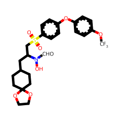 O=CN(O)C(CC1CCC2(CC1)OCCO2)CS(=O)(=O)c1ccc(Oc2ccc(OC(F)(F)F)cc2)cc1